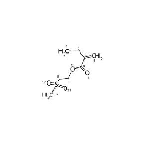 C=C(CC)C(=O)OCCS(C)(=O)=O